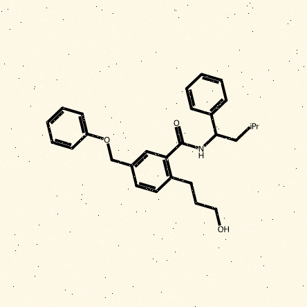 CC(C)CC(NC(=O)c1cc(COc2ccccc2)ccc1CCCO)c1ccccc1